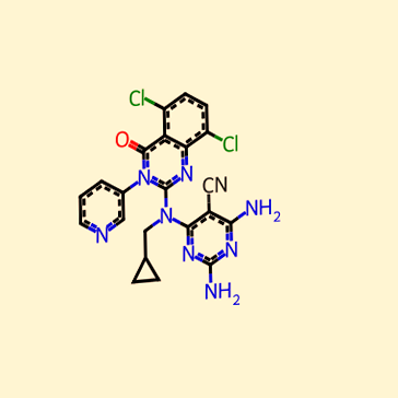 N#Cc1c(N)nc(N)nc1N(CC1CC1)c1nc2c(Cl)ccc(Cl)c2c(=O)n1-c1cccnc1